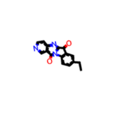 CCc1ccc2c(c1)C(=O)c1nc3ccncc3c(=O)n1-2